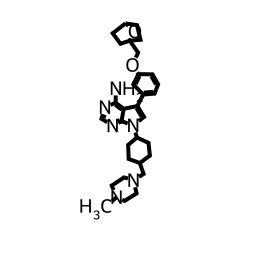 CN1CCN(CC2CCC(n3cc(-c4cccc(OCC56CCC(CC5)O6)c4)c4c(N)ncnc43)CC2)CC1